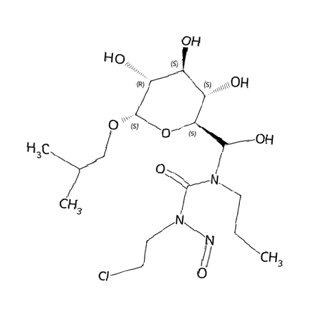 CCCN(C(=O)N(CCCl)N=O)C(O)[C@H]1O[C@H](OCC(C)C)[C@H](O)[C@@H](O)[C@@H]1O